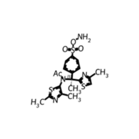 CC(=O)N(c1sc(C)nc1C)[C@@](C)(c1ccc(S(=O)(=O)ON)cc1)c1nc(C)cs1